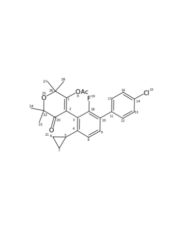 CC(=O)OC1=C(c2c(C3CC3)ccc(-c3ccc(Cl)cc3)c2F)C(=O)C(C)(C)OC1(C)C